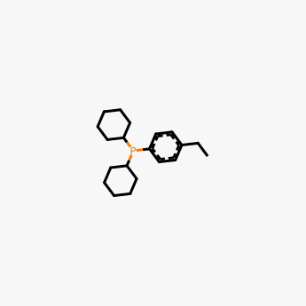 CCc1ccc(P(C2CCCCC2)C2CCCCC2)cc1